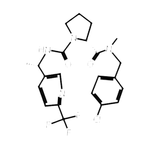 C[C@H](NC(=O)N1CCC[C@@H]1C(=O)N(C)Cc1ccc(Cl)cc1)c1ccc(C(F)(F)F)nc1